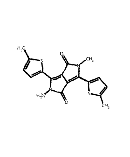 Cc1ccc(C2=C3C(=O)N(N)C(c4ccc(C)s4)=C3C(=O)N2C)s1